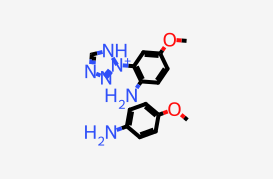 COc1ccc(N)c(-[n+]2nnc[nH]2)c1.COc1ccc(N)cc1